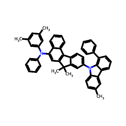 Cc1cc(C)cc(N(c2ccccc2)c2cc3c(c4ccccc24)-c2ccc(-n4c5ccc(C)cc5c5cccc(-c6ccccc6)c54)cc2C3(C)C)c1